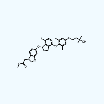 COC(=O)CC1COc2cc(O[C@@H]3CCc4c(Oc5c(C)cc(OCCC(C)(C)O)cc5C)ccc(F)c43)ccc21